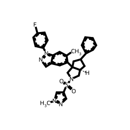 Cc1cc2c(cnn2-c2ccc(F)cc2)cc1C12CC(c3ccccc3)C[C@H]1CN(S(=O)(=O)c1cnn(C)c1)C2